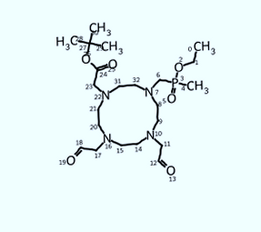 CCOP(C)(=O)CN1CCN(CC=O)CCN(CC=O)CCN(CC(=O)OC(C)(C)C)CC1